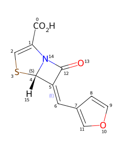 O=C(O)C1=CS[C@H]2/C(=C/c3ccoc3)C(=O)N12